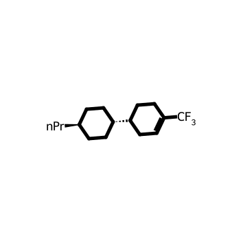 CCC[C@H]1CC[C@H](C2CC=C(C(F)(F)F)CC2)CC1